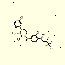 CCC(F)(F)C(=O)C[S+]([O-])c1ccc(C(=O)N2CCN(c3cc(Cl)ccn3)C(C)C2C)cc1Cl